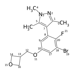 Cc1nn(C)c(C)c1-c1cc(OCC2COC2)cc(Br)c1F